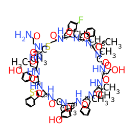 CCCC[C@H]1C(=O)N(C)CC(=O)N[C@@H](CC(=O)O)C(=O)N[C@@H](C(C)C)C(=O)N(C)[C@@H](Cc2ccccc2)C(=O)N[C@@H](Cc2ccc(O)cc2)C(=O)N(C)CC(=O)N[C@@H](Cc2csc3ccccc23)C(=O)N[C@@H](Cc2ccc(O)cc2)C(=O)N[C@@H](CC(C)C)C(=O)N[C@H](C(=O)NCC(N)=O)CSCC(=O)N[C@@H](Cc2ccc(F)cc2)C(=O)N(C)[C@@H](Cc2ccccc2)C(=O)N1C